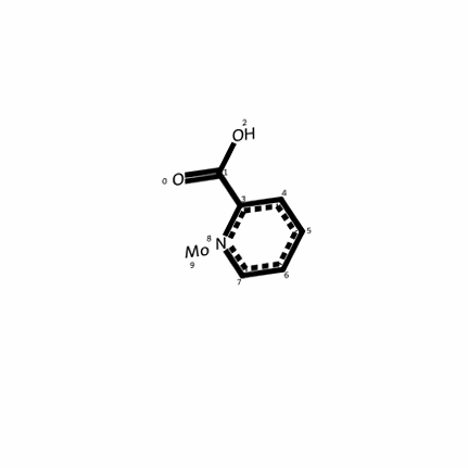 O=C(O)c1ccccn1.[Mo]